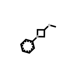 COC1CN(c2ccccc2)C1